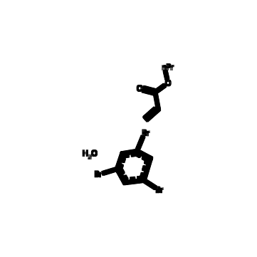 Brc1cc(Br)cc(Br)c1.C=CC(=O)OCCC.O